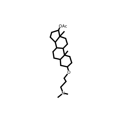 CC(=O)OC1CCC2C3CCC4CC(OCCCN(C)C)CCC4(C)C3CCC12C